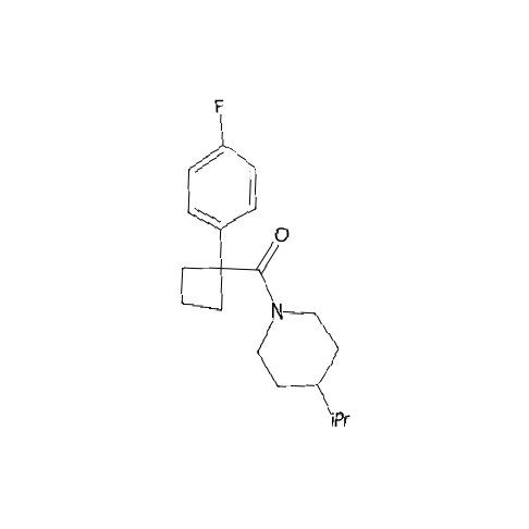 CC(C)C1CCN(C(=O)C2(c3ccc(F)cc3)CCC2)CC1